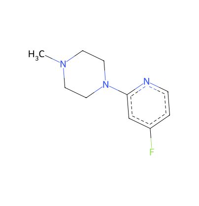 CN1CCN(c2cc(F)ccn2)CC1